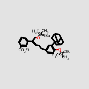 CCOC(=O)c1cccc(/C(=C/CCc2ccc(O[Si](C)(C)C(C)(C)C)c(C34CC5CC(CC(C5)C3)C4)c2)CO[Si](C)(C)C(C)(C)C)c1